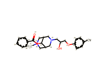 N#Cc1ccc(OCC(O)CN2CC3CN(C(=O)O)CC(C2)C3OC(=O)c2ccccc2)cc1